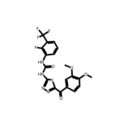 COc1ccc(C(=O)c2nnc(NC(=O)Nc3cccc(C(F)(F)F)c3F)s2)cc1OC